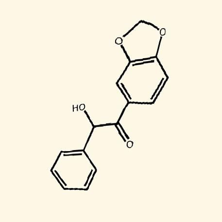 O=C(c1ccc2c(c1)OCO2)C(O)c1ccccc1